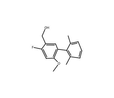 COc1cc(F)c(CO)cc1-c1c(C)cccc1C